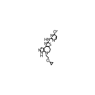 COc1ccnc(Nc2nc3c(s2)CCN(CCOC2CC2)c2[nH]ncc2-3)n1